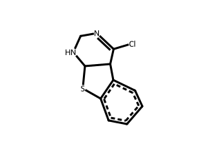 ClC1=NCNC2Sc3ccccc3C12